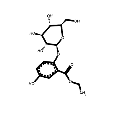 CCOC(=O)c1cc(O)ccc1O[C@@H]1O[C@H](CO)[C@@H](O)[C@H](O)[C@H]1O